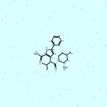 CC(C)N(C(=O)[C@@H]1CC[C@@H](C)C[C@@H]1O)c1cc(-c2ccccc2)sc1C(=O)O